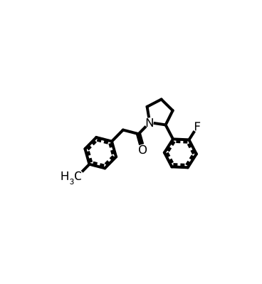 Cc1ccc(CC(=O)N2CCCC2c2ccccc2F)cc1